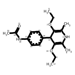 CCOC1=C(C)NC(C)=C(OCC)C1c1ccc(NC(C)=O)cc1